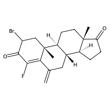 C=C1C[C@@H]2[C@H](CC[C@]3(C)C(=O)CC[C@@H]23)[C@@]2(C)CC(Br)C(=O)C(F)=C12